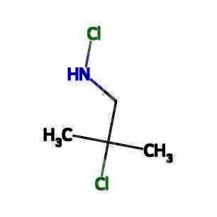 CC(C)(Cl)CNCl